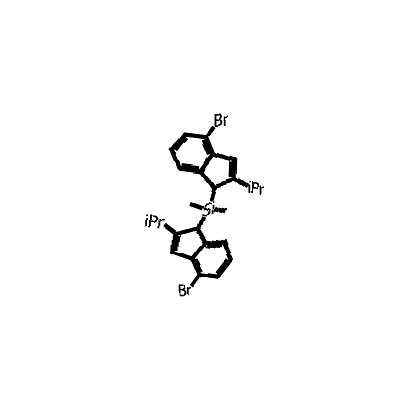 CC(C)C1=Cc2c(Br)cccc2C1[Si](C)(C)C1C(C(C)C)=Cc2c(Br)cccc21